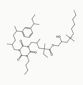 CCCCCC[N+](C)(C)CC(O)COC(=O)C(C)(CC)CC(C)Cn1c(=O)n(CCCC)c(=O)n(CC(C)CCC(C)c2cccc(C(C)CC)c2)c1=O